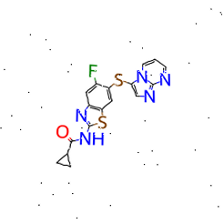 O=C(Nc1nc2cc(F)c(Sc3cnc4ncccn34)cc2s1)C1CC1